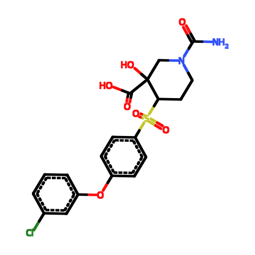 NC(=O)N1CCC(S(=O)(=O)c2ccc(Oc3cccc(Cl)c3)cc2)C(O)(C(=O)O)C1